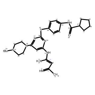 CC(=N)/C=C(\N)Nc1cc(N2CCN(C(C)(C)C)CC2)nc(Sc2ccc(NC(=O)C3CCCC3)cc2)n1